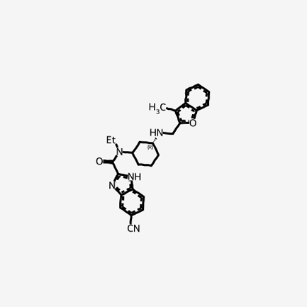 CCN(C(=O)c1nc2cc(C#N)ccc2[nH]1)C1CCC[C@@H](NCc2oc3ccccc3c2C)C1